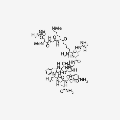 CNCCCC[C@H](NC(=O)CNC(=O)C(COP(N)(=O)O)NC)C(=O)CCCC[C@H](N)C(=O)N[C@@H](CCCNC(=N)N)C(=O)NCC(=O)N[C@@H](Cc1ccc(N)cc1)C(=O)N[C@@H](C)C(=O)N[C@@H](Cc1ccccc1)C(=O)N[C@@H](C)C(=O)N[C@@H](CCC(N)=O)C(=O)N[C@@H](C)C=O